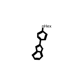 CCCCCCc1ccc(C2=Cc3ccccc3[CH]2)cc1